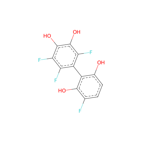 Oc1ccc(F)c(O)c1-c1c(F)c(O)c(O)c(F)c1F